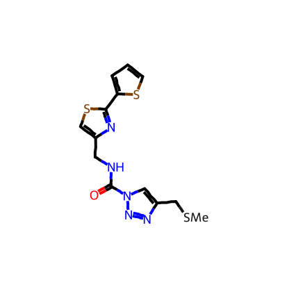 CSCc1cn(C(=O)NCc2csc(-c3cccs3)n2)nn1